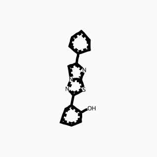 Oc1ccccc1-c1nn2cc(-c3ccccc3)nc2s1